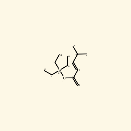 C=C(C=CC(C)C)O[Si](CC)(CC)CC